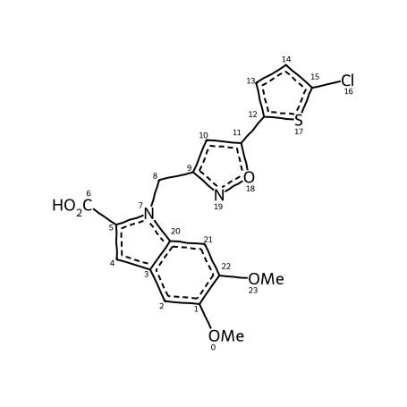 COc1cc2cc(C(=O)O)n(Cc3cc(-c4ccc(Cl)s4)on3)c2cc1OC